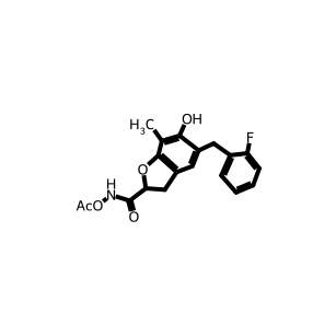 CC(=O)ONC(=O)C1Cc2cc(Cc3ccccc3F)c(O)c(C)c2O1